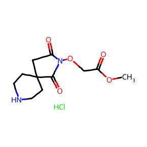 COC(=O)CON1C(=O)CC2(CCNCC2)C1=O.Cl